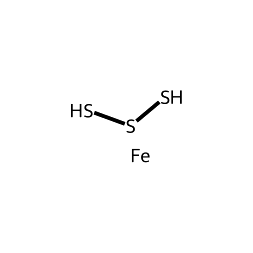 SSS.[Fe]